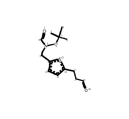 CC(C)(C)ON(C=O)Cc1ccc(CCC=O)s1